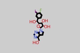 OCc1ncnc2c1ccn2[C@@H]1O[C@H]([C@H](O)c2ccc(F)c(I)c2)[C@@H](O)[C@H]1O